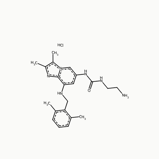 Cc1cccc(C)c1CNc1cc(NC(=O)NCCN)cn2c(C)c(C)nc12.Cl